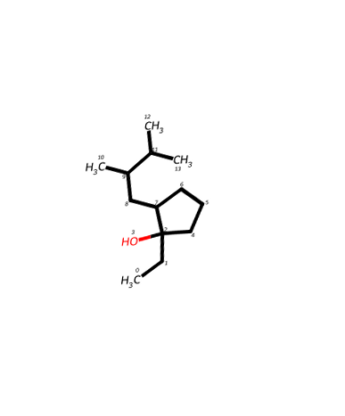 CCC1(O)CCCC1CC(C)C(C)C